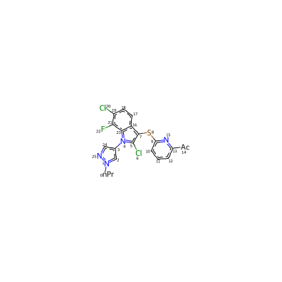 CCCn1cc(-n2c(Cl)c(Sc3cccc(C(C)=O)n3)c3ccc(Cl)c(F)c32)cn1